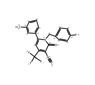 [C-]#[N+]c1c(C(F)(F)F)cc(-c2cccc(C)c2)n(Cc2ccc(F)cc2)c1=O